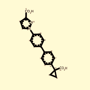 O=C(O)c1ccn(-c2ccc(-c3ccc(C4(C(=O)O)CC4)cc3)cc2)n1